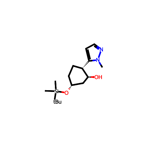 Cn1nccc1[C@H]1CC[C@@H](O[Si](C)(C)C(C)(C)C)C[C@@H]1O